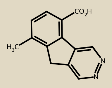 Cc1ccc(C(=O)O)c2c1Cc1cnncc1-2